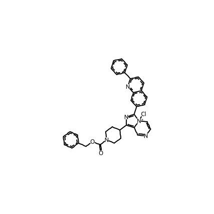 O=C(OCc1ccccc1)N1CCC(C2=C3C=NC=C[N+]3(Cl)C(c3ccc4ccc(-c5ccccc5)nc4c3)=N2)CC1